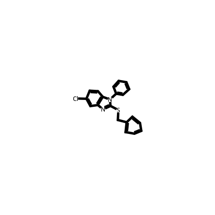 Clc1ccc2c(c1)nc(SCc1ccccc1)n2-c1ccccc1